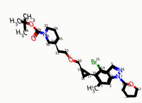 Cc1cc2c(cnn2C2CCCCO2)c(Br)c1[C@H]1C[C@H]1COCC[C@@H]1CCCN(C(=O)OC(C)(C)C)C1